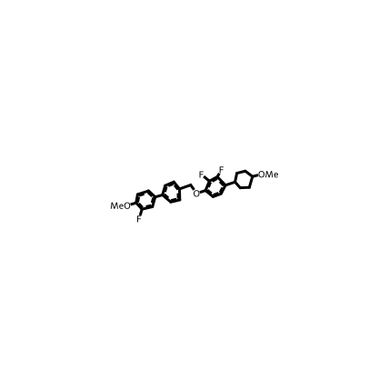 COc1ccc(-c2ccc(COc3ccc(C4CCC(OC)CC4)c(F)c3F)cc2)cc1F